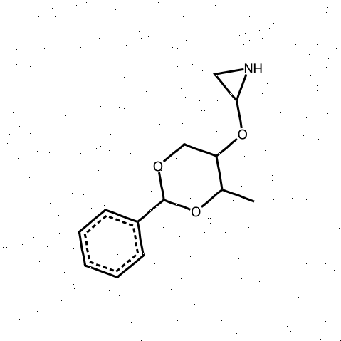 CC1OC(c2ccccc2)OCC1OC1CN1